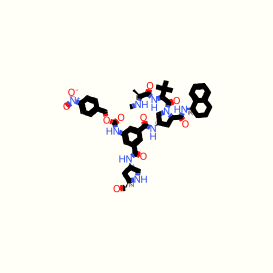 CN[C@@H](C)C(=O)NC(C(=O)N1C[C@@H](NC(=O)c2cc(NC(=O)OCc3ccc([N+](=O)[O-])cc3)cc(C(=O)N[C@@H]3CN[C@H](C=O)C3)c2)CC1C(=O)N[C@@H]1CCCc2ccccc21)C(C)(C)C